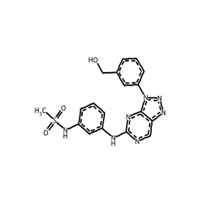 CS(=O)(=O)Nc1cccc(Nc2ncc3nnn(-c4cccc(CO)c4)c3n2)c1